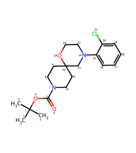 CC(C)(C)OC(=O)N1CCC2(CC1)CN(c1ccccc1Cl)CCO2